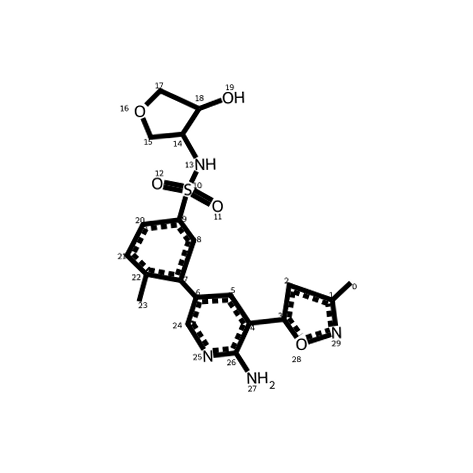 Cc1cc(-c2cc(-c3cc(S(=O)(=O)NC4COCC4O)ccc3C)cnc2N)on1